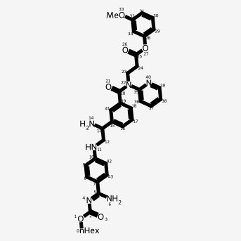 CCCCCCOC(=O)/N=C(\N)c1ccc(NCC(N)c2cccc(C(=O)N(CCC(=O)Oc3cccc(OC)c3)c3ccccn3)c2)cc1